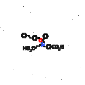 O=C(O)CCCCN(Cc1ccc(C(=O)O)cc1)CC(OCc1ccc(CCc2ccccc2)cc1)c1ccccc1